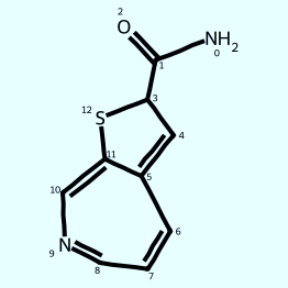 NC(=O)C1C=C2C=CC=NC=C2S1